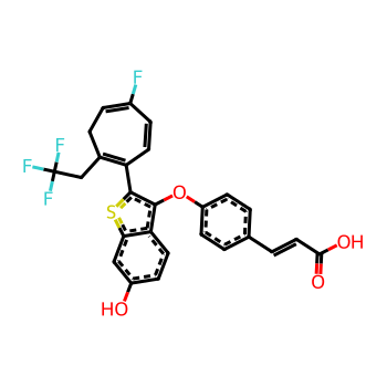 O=C(O)/C=C/c1ccc(Oc2c(C3=C(CC(F)(F)F)CC=C(F)C=C3)sc3cc(O)ccc23)cc1